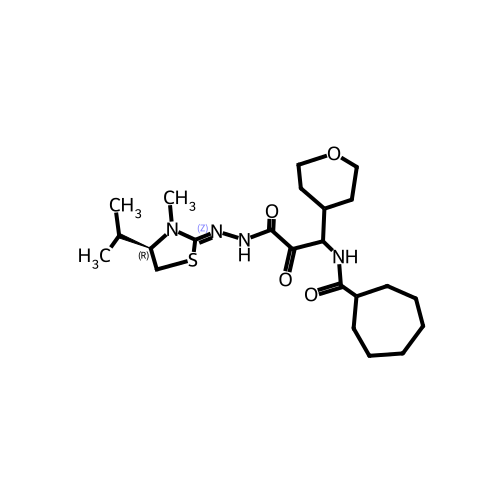 CC(C)[C@@H]1CS/C(=N\NC(=O)C(=O)C(NC(=O)C2CCCCCC2)C2CCOCC2)N1C